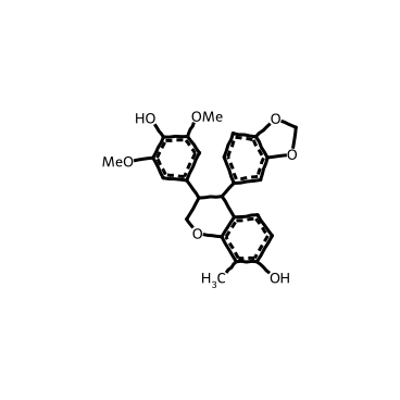 COc1cc(C2COc3c(ccc(O)c3C)C2c2ccc3c(c2)OCO3)cc(OC)c1O